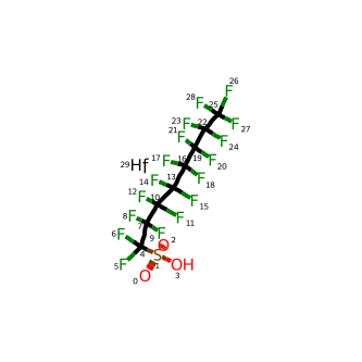 O=S(=O)(O)C(F)(F)C(F)(F)C(F)(F)C(F)(F)C(F)(F)C(F)(F)C(F)(F)C(F)(F)F.[Hf]